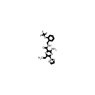 C=Cc1nc(C(=O)NCc2ccccc2OC(F)(F)F)c(N)nc1-n1nccn1